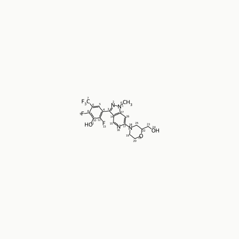 Cn1nc(-c2cc(C(F)(F)F)c(F)c(O)c2F)c2cnc(N3CCOC(CO)C3)cc21